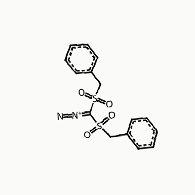 [N-]=[N+]=C(S(=O)(=O)Cc1ccccc1)S(=O)(=O)Cc1ccccc1